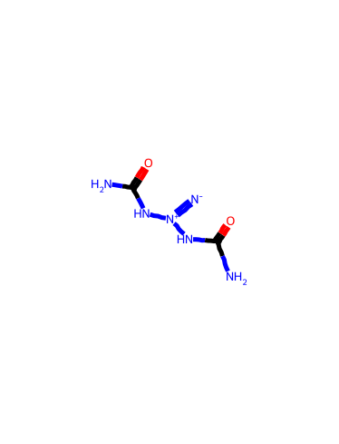 [N-]=[N+](NC(N)=O)NC(N)=O